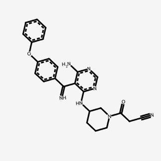 N#CCC(=O)N1CCCC(Nc2ncnc(N)c2C(=N)c2ccc(Oc3ccccc3)cc2)C1